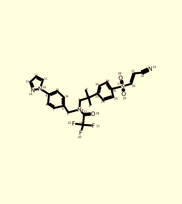 CC(C)(CN(Cc1ccc(-n2cccn2)cc1)C(=O)C(F)(F)F)c1ccc(S(=O)(=O)C=CC#N)cc1